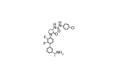 CC(N)c1cccc(-c2ccc(N3CCC(NC(=O)Nc4ccc(Cl)cc4)C3=O)c(F)c2F)c1